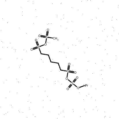 CC(C)OS(=O)(=O)OS(=O)(=O)CCCCCS(=O)(=O)OS(C)(=O)=O